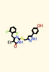 CCc1c(Cc2c(F)cccc2F)nc(SCc2cc(-c3ccc(O)cc3)[nH]n2)[nH]c1=O